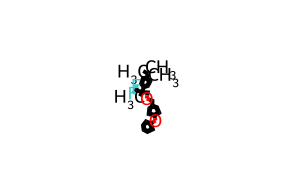 CC(C)(C)c1ccc(C(C)(COCc2ccc(Oc3ccccc3)cc2)C(F)F)cc1